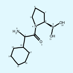 NC(C(=O)N1CCC[C@H]1B(O)O)C1CCCCC1